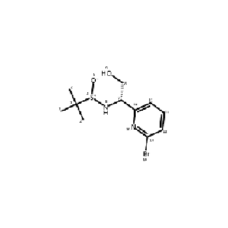 CC(C)(C)[S+]([O-])N[C@H](CO)c1cccc(Br)n1